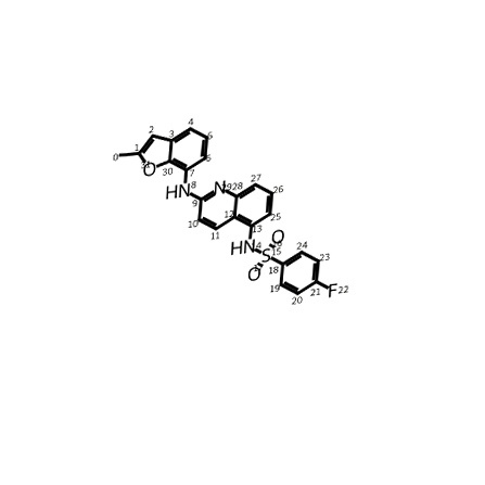 Cc1cc2cccc(Nc3ccc4c(NS(=O)(=O)c5ccc(F)cc5)cccc4n3)c2o1